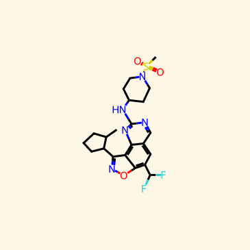 CC1CCCC1c1noc2c(C(F)F)cc3cnc(NC4CCN(S(C)(=O)=O)CC4)nc3c12